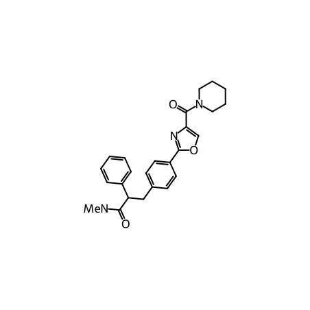 CNC(=O)C(Cc1ccc(-c2nc(C(=O)N3CCCCC3)co2)cc1)c1ccccc1